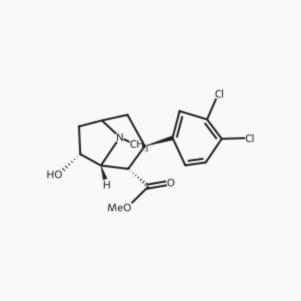 COC(=O)[C@@H]1[C@@H]2[C@H](O)CC(C[C@H]1c1ccc(Cl)c(Cl)c1)N2C